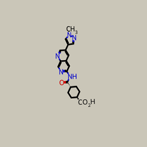 Cn1cc(-c2cnc3cnc(NC(=O)[C@H]4CC[C@H](C(=O)O)CC4)cc3c2)cn1